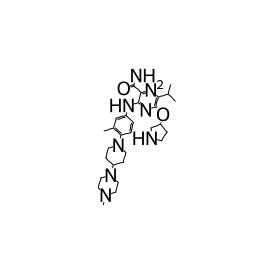 Cc1cc(Nc2nc(O[C@@H]3CCNC3)c(C(C)C)nc2C(N)=O)ccc1N1CCC(N2CCN(C)CC2)CC1